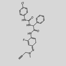 C#CCN(C)N=C1C=C(F)C(NC(=O)C(NC(=O)Nc2ccc(Cl)cc2)c2ccccc2)=CC1